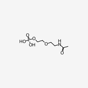 CC(=O)NCCOCCOP(=O)(O)O